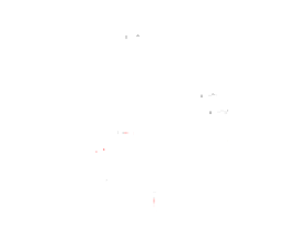 CCCCCCCCCCCCSCCC(=O)O.CCCCCCCCCCCCSCCC(=O)OCC(CO)(CO)COC(=O)CCSCCCCCCCCCCCC